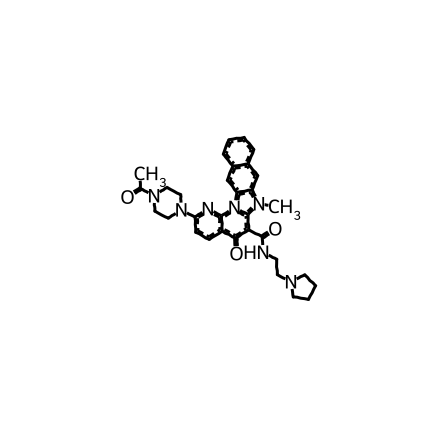 CC(=O)N1CCN(c2ccc3c(=O)c(C(=O)NCCN4CCCC4)c4n(C)c5cc6ccccc6cc5n4c3n2)CC1